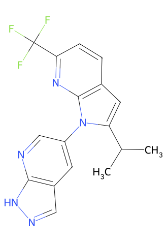 CC(C)c1cc2ccc(C(F)(F)F)nc2n1-c1cnc2[nH]ncc2c1